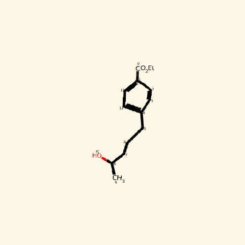 CCOC(=O)c1ccc(CCCC(C)O)cc1